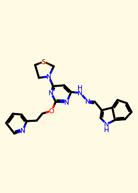 C(=N\Nc1cc(N2CCSC2)nc(OCCc2ccccn2)n1)/c1c[nH]c2ccccc12